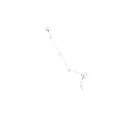 O=C(CCCC[C@H]1SC[C@H]2NC(=O)N[C@H]21)NCCOCCOCCOCCOCCC(=O)NCCOCCOCCOCCOCCn1cc(COCCCCCCO[C@]2(C(=O)O)C[C@H](O)[C@@H](NC(=O)CO)[C@H]([C@H](O)[C@H](O)CNC(=O)Cc3ccc(C(F)F)cc3)O2)nn1